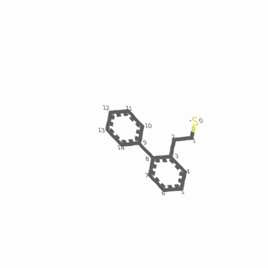 [S]CCc1ccccc1-c1ccccc1